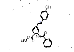 CC(C)(C)OC(=O)c1ccc(/C=C/c2ccc(O)cc2)cc1NC(=O)c1ccccc1